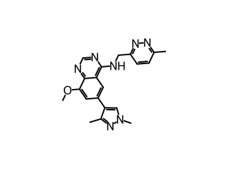 COc1cc(-c2cn(C)nc2C)cc2c(NCc3ccc(C)nn3)ncnc12